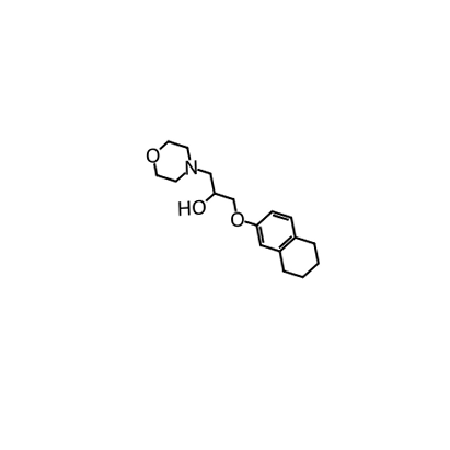 OC(COc1ccc2c(c1)CCCC2)CN1CCOCC1